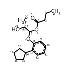 CCCC(=O)OC(Oc1ccccc1C1CCCC1)[C@@H](C)O